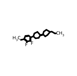 CCCC1CCC(=C2CCC(c3ccc(CC)c(F)c3F)CC2)CC1